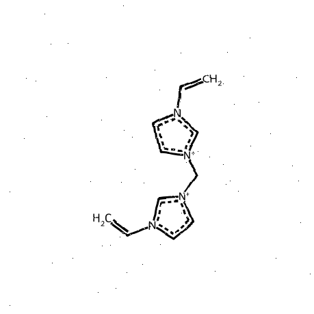 C=Cn1cc[n+](C[n+]2ccn(C=C)c2)c1